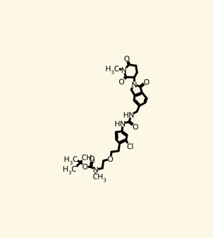 CN(CCOCCc1ccc(NC(=O)NCc2ccc3c(c2)CN(C2CCC(=O)N(C)C2=O)C3=O)cc1Cl)C(=O)OC(C)(C)C